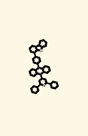 c1ccc(-c2cc(-c3c4ccccc4c(-c4ccc(-c5cccc6c5oc5ccccc56)cc4)c4ccccc34)cc(-c3ccccc3)n2)cc1